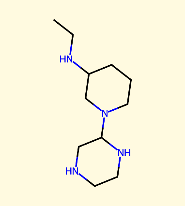 CCNC1CCCN(C2CNCCN2)C1